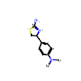 CCN(CC)c1ccc(C2CSC(N)=N2)cc1